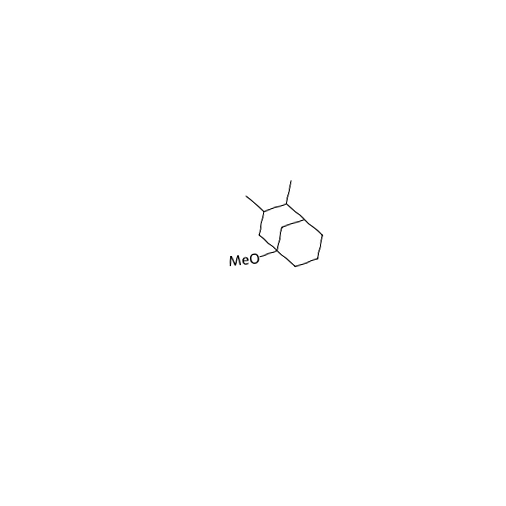 COC12CCCC(C1)C(C)C(C)C2